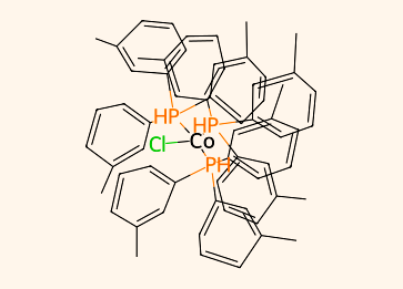 Cc1cccc([PH](c2cccc(C)c2)(c2cccc(C)c2)[Co]([Cl])([PH](c2cccc(C)c2)(c2cccc(C)c2)c2cccc(C)c2)[PH](c2cccc(C)c2)(c2cccc(C)c2)c2cccc(C)c2)c1